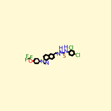 FC(F)(F)OC1=CCC(n2cnc3c4ccc(/C=N/NC(=S)Nc5ccc(Cl)cc5Cl)cc4ccc32)C=C1